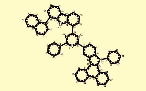 c1ccc(-c2nc(-c3ccc4c(c3)c3c5ccccc5c5ccccc5c3n4-c3ccccc3)nc(-c3cccc4c3oc3c(-c5cccc6ccccc56)cccc34)n2)cc1